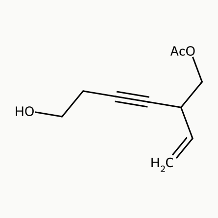 C=CC(C#CCCO)COC(C)=O